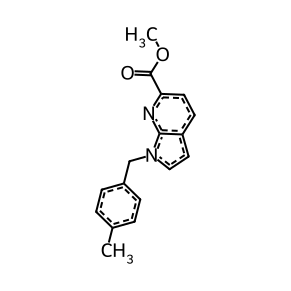 COC(=O)c1ccc2ccn(Cc3ccc(C)cc3)c2n1